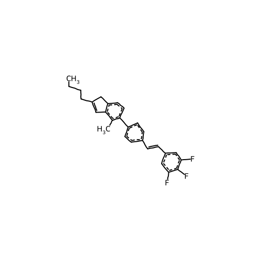 CCCCC1=Cc2c(ccc(-c3ccc(/C=C/c4cc(F)c(F)c(F)c4)cc3)c2C)C1